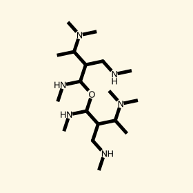 CNCC(C(NC)OC(NC)C(CNC)C(C)N(C)C)C(C)N(C)C